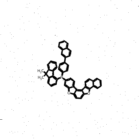 CC1(C)c2ccccc2-c2c(N(c3ccc(-c4ccc5ccccc5c4)cc3)c3ccc4c(c3)oc3ccc5oc6c7ccccc7ccc6c5c34)cccc21